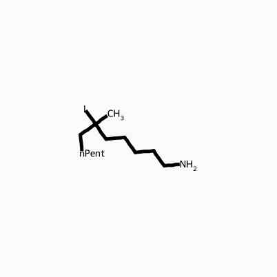 CCCCCCC(C)(I)CCCCCN